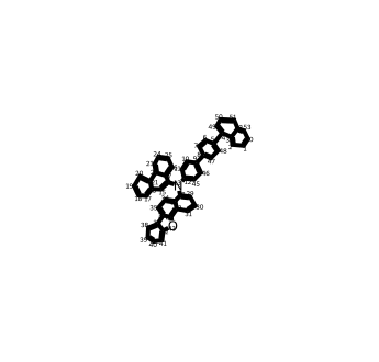 c1ccc2c(-c3ccc(-c4ccc(N(c5cc6ccccc6c6ccccc56)c5cccc6c5ccc5c7ccccc7oc65)cc4)cc3)cccc2c1